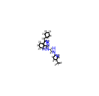 C=C(C)c1ccc(NCCNc2nnc(Cc3ccccc3)c3ccccc23)nc1